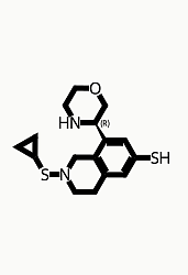 Sc1cc2c(c([C@@H]3COCCN3)c1)CN(SC1CC1)CC2